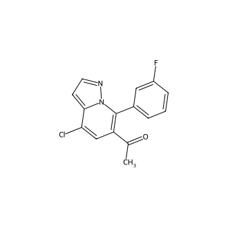 CC(=O)c1cc(Cl)c2ccnn2c1-c1cccc(F)c1